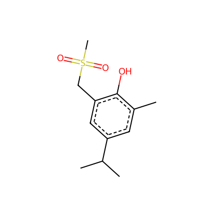 Cc1cc(C(C)C)cc(CS(C)(=O)=O)c1O